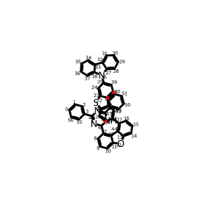 c1ccc(C2=NC(c3cccc4oc5cccc(-c6ccc7sc8cc(-n9c%10ccccc%10c%10ccccc%109)ccc8c7c6)c5c34)NC(c3ccccc3)=N2)cc1